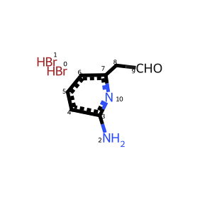 Br.Br.Nc1cccc(CC=O)n1